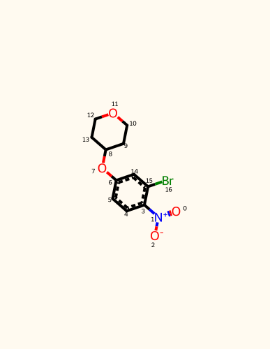 O=[N+]([O-])c1ccc(OC2CCOCC2)cc1Br